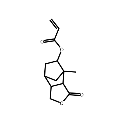 C=CC(=O)OC1CC2CC1(C)C1C(=O)OCC21